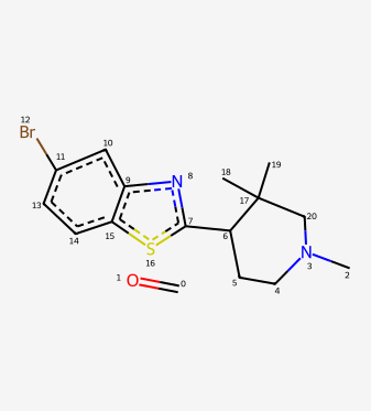 C=O.CN1CCC(c2nc3cc(Br)ccc3s2)C(C)(C)C1